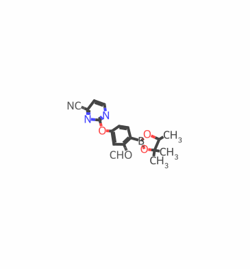 CC1OB(c2ccc(Oc3nccc(C#N)n3)cc2C=O)OC1(C)C